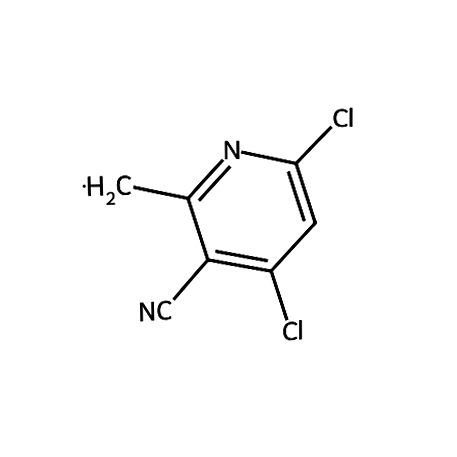 [CH2]c1nc(Cl)cc(Cl)c1C#N